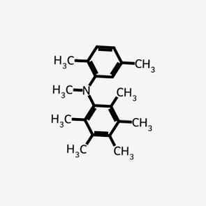 Cc1ccc(C)c(N(C)c2c(C)c(C)c(C)c(C)c2C)c1